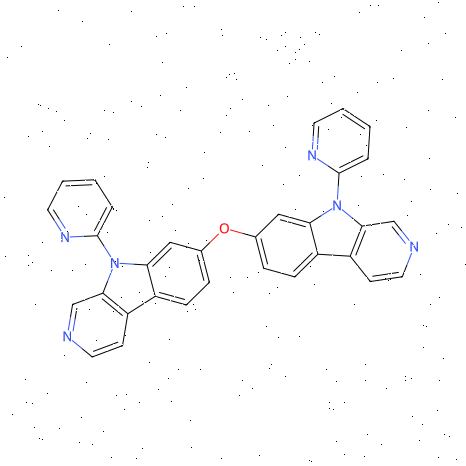 c1ccc(-n2c3cnccc3c3ccc(Oc4ccc5c6ccncc6n(-c6ccccn6)c5c4)cc32)nc1